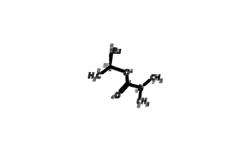 C[C@H](OC(=O)N(C)C)C(C)(C)C